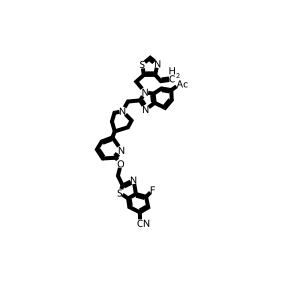 C=Cc1ncsc1Cn1c(CN2CCC(c3cccc(OCc4nc5c(F)cc(C#N)cc5s4)n3)CC2)nc2ccc(C(C)=O)cc21